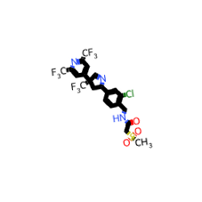 CS(=O)(=O)CC(=O)NCc1ccc(C2CC(c3cc(C(F)(F)F)nc(C(F)(F)F)c3)(C(F)(F)F)C=N2)cc1Cl